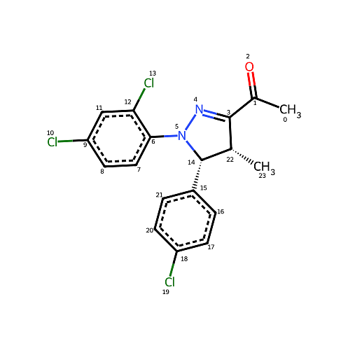 CC(=O)C1=NN(c2ccc(Cl)cc2Cl)[C@@H](c2ccc(Cl)cc2)[C@H]1C